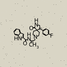 C[C@@H](CN1CCC2(CC1)C(=O)NC[C@H]2c1ccc(F)cc1)NC(=O)c1cc2ccccc2[nH]1